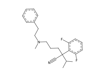 CC(C)C(C#N)(CCCN(C)CCc1ccccc1)c1c(F)cccc1F